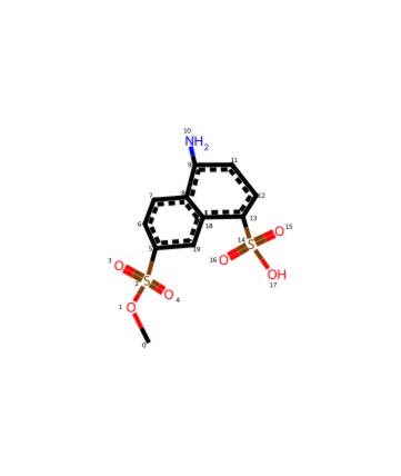 COS(=O)(=O)c1ccc2c(N)ccc(S(=O)(=O)O)c2c1